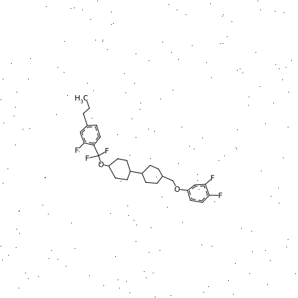 CCCc1ccc(C(F)(F)OC2CCC(C3CCC(COc4ccc(F)c(F)c4)CC3)CC2)c(F)c1